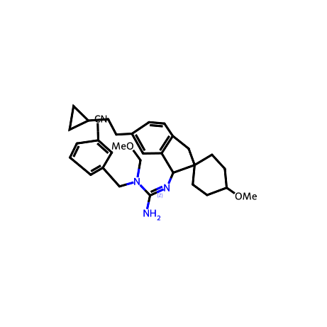 COCN(Cc1cccc(C#N)c1)/C(N)=N\C1c2cc(CCC3CC3)ccc2CC12CCC(OC)CC2